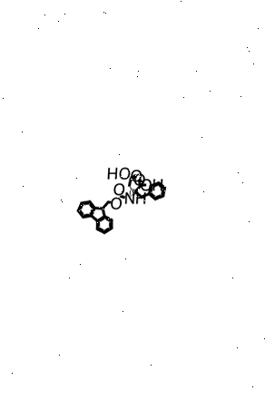 O=C(O)C[C@](Cc1ccccc1)(NC(=O)OCC1c2ccccc2-c2ccccc21)C(=O)O